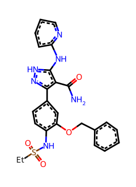 CCS(=O)(=O)Nc1ccc(-c2n[nH]c(Nc3ccccn3)c2C(N)=O)cc1OCc1ccccc1